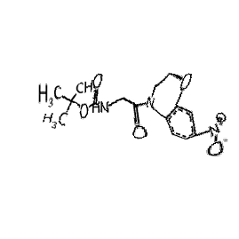 CC(C)(C)OC(=O)NCC(=O)N1CCOc2cc([N+](=O)[O-])ccc21